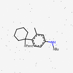 CCCCCC1(c2ccc(NCCCC)cc2C)CCCCC1